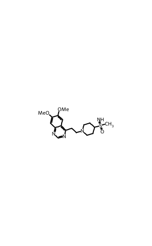 COc1cc2ncnc(CCN3CCC(S(C)(=N)=O)CC3)c2cc1OC